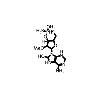 B[PH]1(O)OCC2OC(N3C4=C(NC3O)C(N)=NCN4)C(OC)[C@@H]2O1